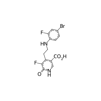 O=C(O)c1c[nH]c(=O)c(F)c1CCNc1ccc(Br)cc1F